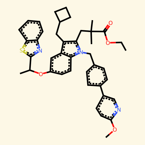 CCOC(=O)C(C)(C)Cc1c(CC2CCC2)c2cc(OC(C)c3nc4ccccc4s3)ccc2n1Cc1ccc(-c2ccc(OC)nc2)cc1